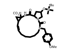 COc1ccc(CN2CCCCCC=CC3CC3(C(=O)O)NC(=O)C3CC(O[Si](C)(C)C(C)(C)C)CN3C2=O)cc1